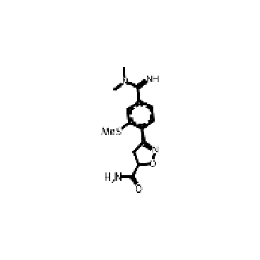 CSc1cc(C(=N)N(C)C)ccc1C1=NOC(C(N)=O)C1